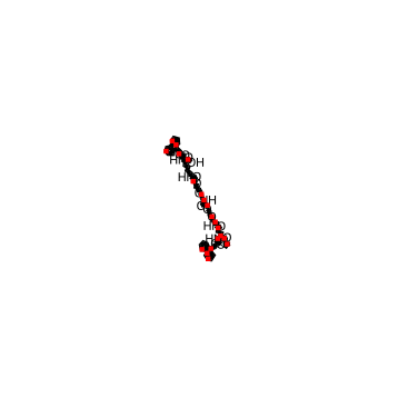 CC(C)(C)OC(=O)C(CCC(=O)NCCOCCOCC(=O)NCCOCCOCC(=O)NCCCCC(NC(=O)OCC1c2ccccc2-c2ccccc21)C(=O)O)NC(=O)OCC1c2ccccc2-c2ccccc21